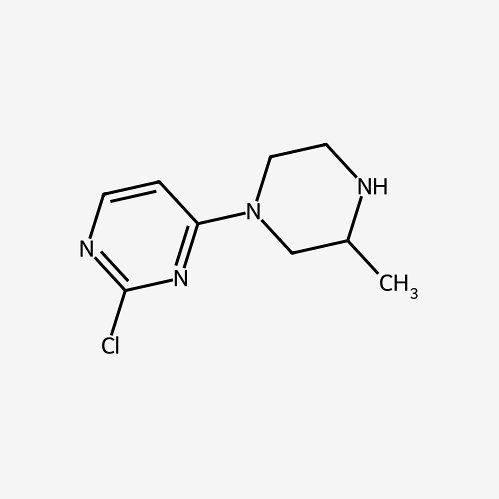 CC1CN(c2ccnc(Cl)n2)CCN1